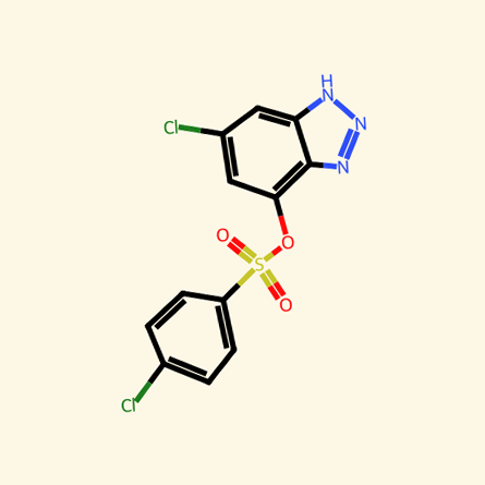 O=S(=O)(Oc1cc(Cl)cc2[nH]nnc12)c1ccc(Cl)cc1